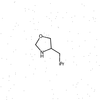 CC(C)CC1COCN1